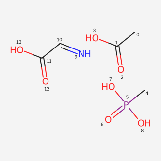 CC(=O)O.CP(=O)(O)O.N=CC(=O)O